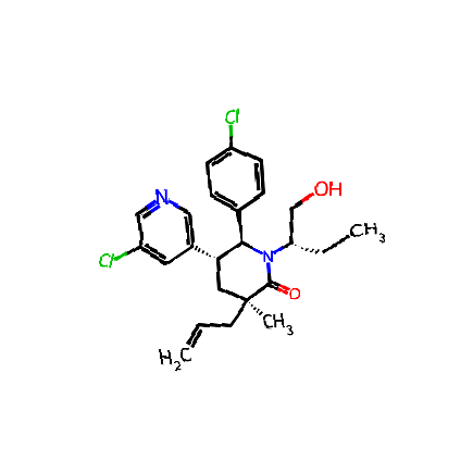 C=CC[C@@]1(C)C[C@H](c2cncc(Cl)c2)[C@@H](c2ccc(Cl)cc2)N([C@@H](CC)CO)C1=O